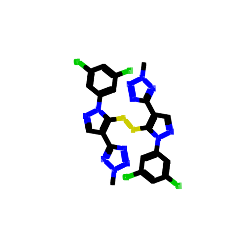 Cn1nnc(-c2cnn(-c3cc(Cl)cc(Cl)c3)c2SSc2c(-c3nnn(C)n3)cnn2-c2cc(Cl)cc(Cl)c2)n1